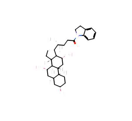 C[C@H](CCC(=O)N1CCc2ccccc21)[C@H]1CC[C@H]2[C@@H]3[C@H](O)C[C@@H]4C[C@H](O)CC[C@]4(C)[C@H]3C[C@H](O)[C@]12C